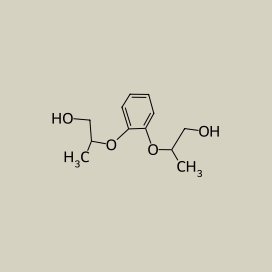 CC(CO)Oc1ccccc1OC(C)CO